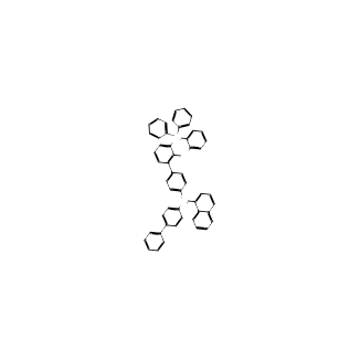 c1ccc(-c2ccc(N(c3ccc(-c4cccc5c4Oc4ccccc4[Si]5(c4ccccc4)c4ccccc4)cc3)c3cccc4ccccc34)cc2)cc1